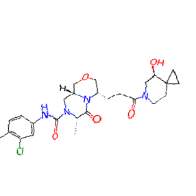 C[C@H]1C(=O)N2[C@@H](CCC(=O)N3CCC4(CC4)[C@H](O)C3)COC[C@H]2CN1C(=O)Nc1ccc(C(F)(F)F)c(Cl)c1